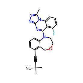 Cc1nnc2nc(N3CCOCc4c(C#CC(C)(C)C#N)cccc43)c3c(F)cccc3n12